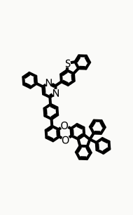 c1ccc(-c2cc(-c3ccc(-c4cccc5c4Oc4ccc6c(c4O5)-c4ccccc4C6(c4ccccc4)c4ccccc4)cc3)nc(-c3ccc4c(c3)sc3ccccc34)n2)cc1